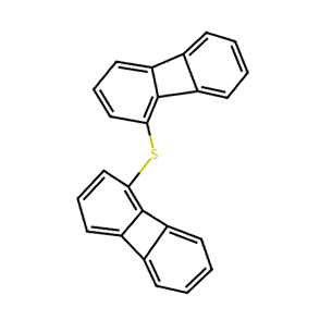 c1ccc2c(c1)-c1cccc(Sc3cccc4c3-c3ccccc3-4)c1-2